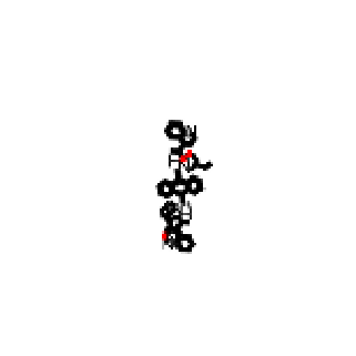 C=CC1C[N+]2(Cc3c4ccccc4c(C[N+]45CCC(C[C@H]4C(C)c4ccnc6ccccc46)C(C=C)C5)c4ccccc34)CCC1C[C@H]2C(C)c1ccnc2ccccc12